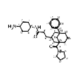 N[C@H]1CC[C@H](NC(=O)CCC2CC3(C(=O)N4CCCC4)CCCC(c4ccccc4)(C2)C3)CC1